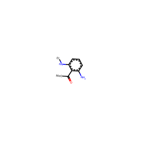 CCNc1cccc(N)c1C(=O)OC